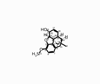 CN1CC[C@]23c4c5ccc(O[SiH3])c4O[C@H]2[C@@H](O)C=C[C@H]3[C@H]1C5